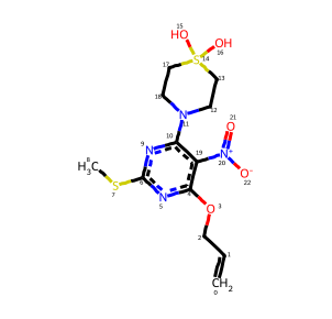 C=CCOc1nc(SC)nc(N2CCS(O)(O)CC2)c1[N+](=O)[O-]